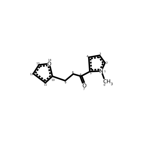 Cn1cccc1C(=O)CCc1ccco1